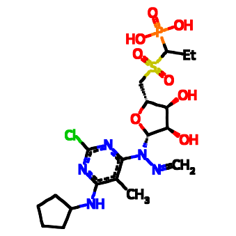 C=NN(c1nc(Cl)nc(NC2CCCC2)c1C)[C@@H]1O[C@H](CS(=O)(=O)C(CC)P(=O)(O)O)[C@@H](O)[C@H]1O